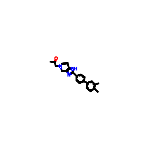 CC(=O)CN1C=Cc2[nH]c(-c3ccc(-c4ccc(C)c(C)c4)cc3)nc2C1